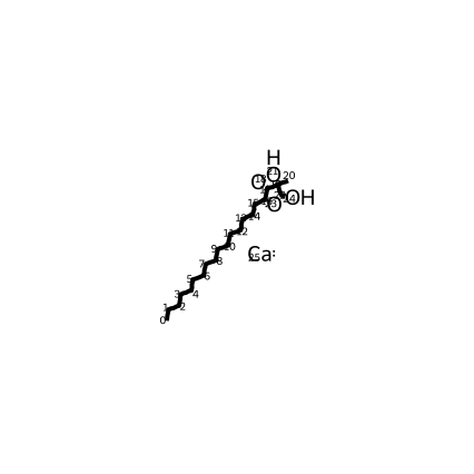 CCCCCCCCCCCCCCCCCC(=O)C(C)(O)C(=O)O.[Ca]